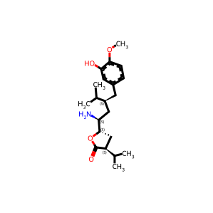 COc1ccc(C[C@@H](C[C@H](N)[C@@H]2C[C@@H](C(C)C)C(=O)O2)C(C)C)cc1O